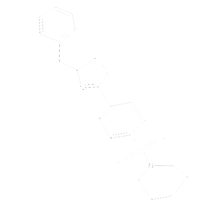 O=S(=O)(c1ccc(C2=NC(Cc3ccccc3)CO2)cc1)N1CCOCC1